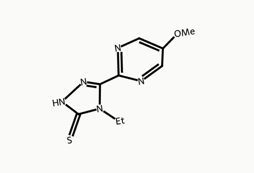 CCn1c(-c2ncc(OC)cn2)n[nH]c1=S